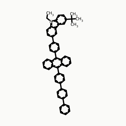 CCn1c2ccc(-c3ccc(-c4c5ccccc5c(-c5ccc(-c6ccc(-c7ccccc7)cc6)cc5)c5ccccc45)cc3)cc2c2cc(C(C)(C)C)ccc21